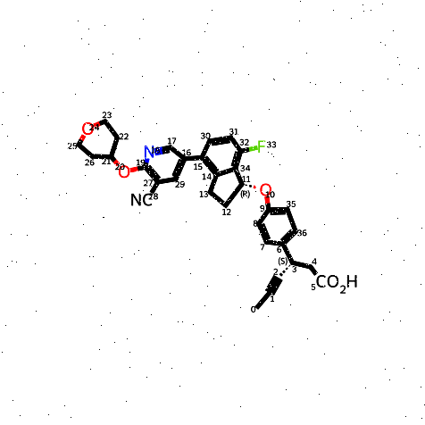 CC#C[C@@H](CC(=O)O)c1ccc(O[C@@H]2CCc3c(-c4cnc(OC5CCOCC5)c(C#N)c4)ccc(F)c32)cc1